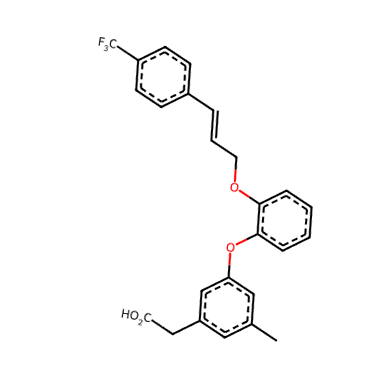 Cc1cc(CC(=O)O)cc(Oc2ccccc2OCC=Cc2ccc(C(F)(F)F)cc2)c1